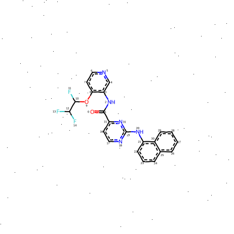 O=C(Nc1cnccc1OC(F)C(F)F)c1ccnc(Nc2cccc3ccccc23)n1